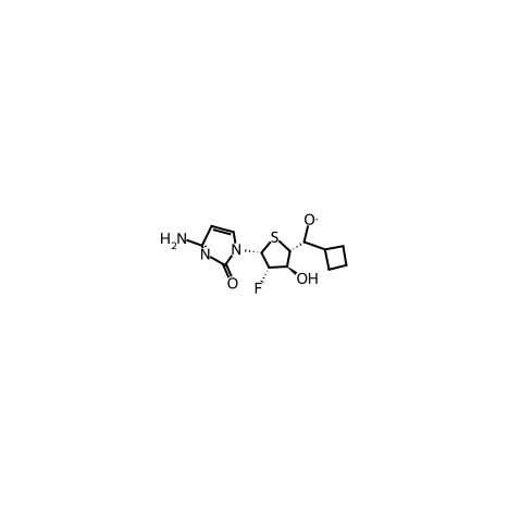 Nc1ccn([C@@H]2S[C@H](C([O])C3CCC3)[C@@H](O)[C@@H]2F)c(=O)n1